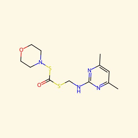 Cc1cc(C)nc(NCSC(=O)SN2CCOCC2)n1